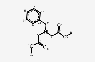 COC(=O)CN(CC(=O)OC)Cc1ccccc1